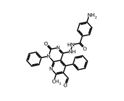 Cc1nc2c(c(NNC(=O)c3ccc(N)cc3)nc(=O)n2-c2ccccc2)c(-c2ccccc2)c1C=O